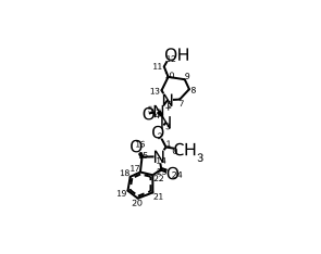 CC(O/N=[N+](\[O-])N1CCCC(CO)C1)N1C(=O)c2ccccc2C1=O